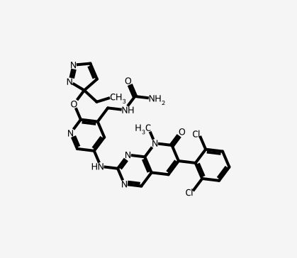 CCC1(Oc2ncc(Nc3ncc4cc(-c5c(Cl)cccc5Cl)c(=O)n(C)c4n3)cc2CNC(N)=O)C=CN=N1